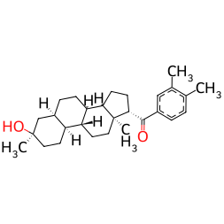 Cc1ccc(C(=O)[C@H]2CC[C@H]3[C@@H]4CC[C@@H]5C[C@](C)(O)CC[C@@H]5[C@H]4CC[C@]23C)cc1C